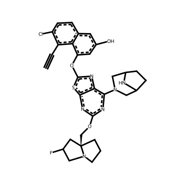 C#Cc1c(Cl)ccc2cc(O)cc(Oc3nc4c(N5CC6CCC(C5)N6)nc(OC[C@@]56CCCN5CC(F)C6)nc4s3)c12